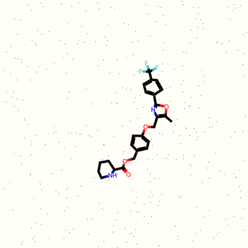 Cc1oc(-c2ccc(C(F)(F)F)cc2)nc1COc1ccc(COC(=O)C2CCCCN2)cc1